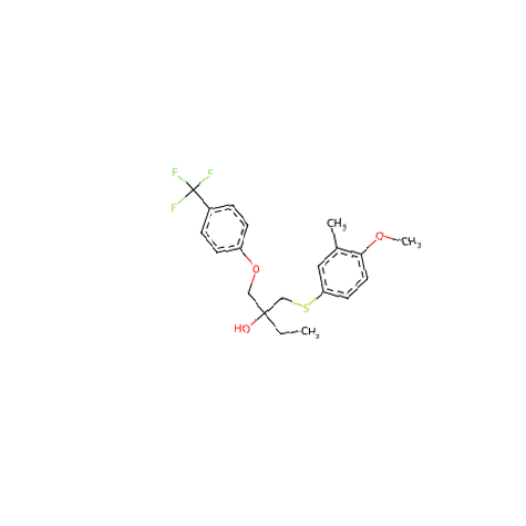 CCC(O)(COc1ccc(C(F)(F)F)cc1)CSc1ccc(OC)c(C)c1